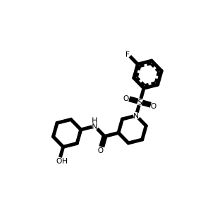 O=C(NC1CCCC(O)C1)C1CCCN(S(=O)(=O)c2cccc(F)c2)C1